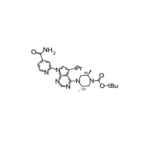 CC(C)c1cn(-c2cc(C(N)=O)ccn2)c2ncnc(N3C[C@@H](C)N(C(=O)OC(C)(C)C)C[C@@H]3C)c12